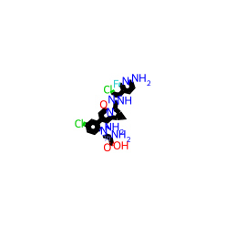 N/C(=C\N(N)c1ccc(Cl)cc1-c1cc2n(c(=O)c1)C(c1nc(Cl)c(-c3ccc(N)nc3F)[nH]1)C1CC21)C(=O)O